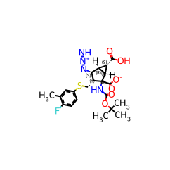 Cc1cc(SC[C@@H]2[C@@H](N=[N+]=N)[C@H]3[C@H](C(=O)O)[C@H]3[C@]2(NC(=O)OC(C)(C)C)C(=O)[O-])ccc1F